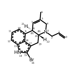 C=CCN1CC(C)=C[C@@H]2c3cccc4[nH]c(Br)c(c34)C[C@H]21